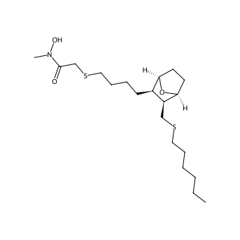 CCCCCCSC[C@H]1[C@@H](CCCCSCC(=O)N(C)O)[C@H]2CC[C@@H]1O2